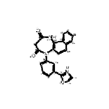 O=C1CC(=O)N(c2cccc(-c3ncco3)c2)c2ccc3ccccc3c2N1